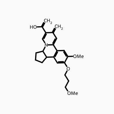 C=C(O)C1=CN2C(=CC1=C)c1cc(OC)c(OCCCOC)cc1C1CCCC12